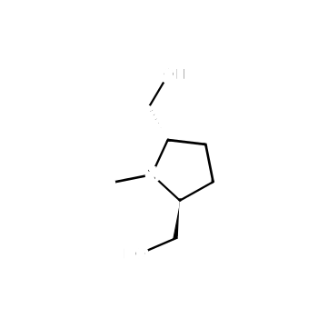 CN1[C@H](CO)CC[C@H]1CO